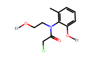 CCOCCN(C(=O)CCl)c1c(C)cccc1OCC